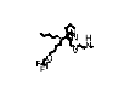 CCCCC[C@H](CCCCOCC(F)(F)F)c1c(CN(C)CCNC)nn2c1CCC2